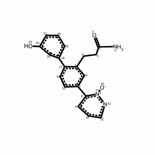 NC(=O)CCc1cc(-c2cccn[n+]2[O-])ccc1-c1cccc(O)c1